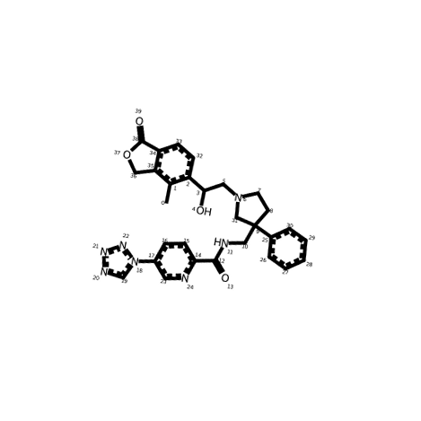 Cc1c(C(O)CN2CCC(CNC(=O)c3ccc(-n4cnnn4)cn3)(c3ccccc3)C2)ccc2c1COC2=O